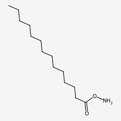 CCCCCCCCCCCCCC(=O)ON